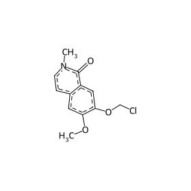 COc1cc2ccn(C)c(=O)c2cc1OCCl